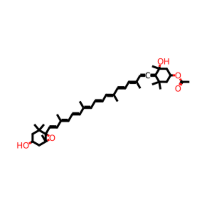 CC(=O)OC1CC(C)(C)C(=C=C/C(C)=C/C=C/C(C)=C/C=C/C=C(C)/C=C/C=C(C)/C=C/C23OC2(C)CC(O)CC3(C)C)C(C)(O)C1